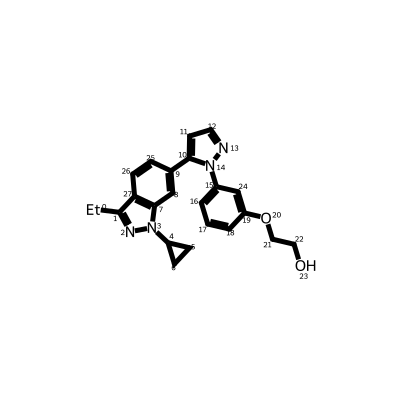 CCc1nn(C2CC2)c2cc(-c3ccnn3-c3cccc(OCCO)c3)ccc12